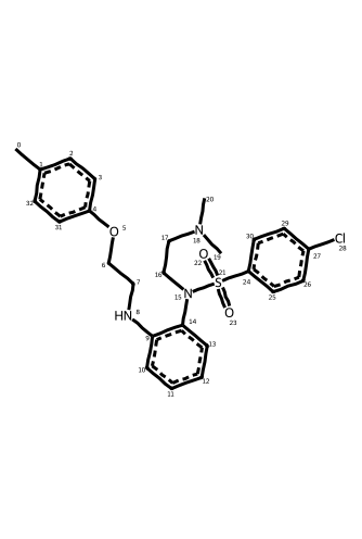 Cc1ccc(OCCNc2ccccc2N(CCN(C)C)S(=O)(=O)c2ccc(Cl)cc2)cc1